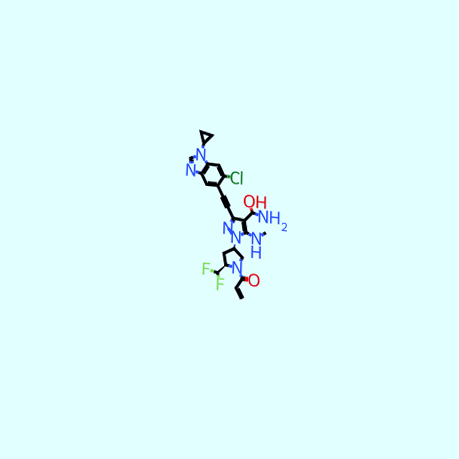 C=CC(=O)N1C[C@@H](n2nc(C#Cc3cc4ncn(C5CC5)c4cc3Cl)c(C(N)O)c2NC)C[C@@H]1C(F)F